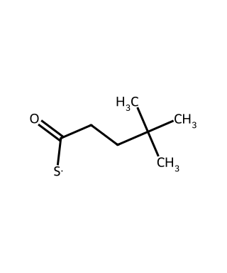 CC(C)(C)CCC(=O)[S]